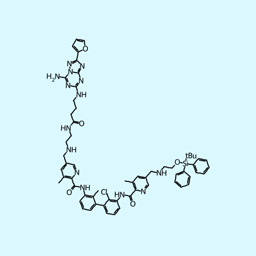 Cc1cc(CNCCNC(=O)CCCNc2nc(N)n3nc(-c4ccco4)nc3n2)cnc1C(=O)Nc1cccc(-c2cccc(NC(=O)c3ncc(CNCCO[Si](c4ccccc4)(c4ccccc4)C(C)(C)C)cc3C)c2Cl)c1C